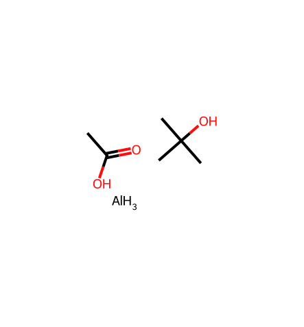 CC(=O)O.CC(C)(C)O.[AlH3]